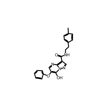 Cc1ccc(CCNC(=O)c2cnn3c(O)c(Oc4ccccc4)cnc23)cc1